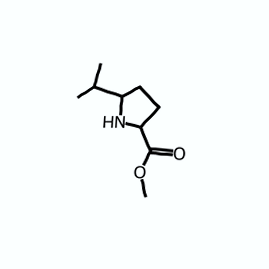 COC(=O)C1CCC(C(C)C)N1